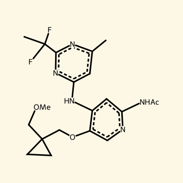 COCC1(COc2cnc(NC(C)=O)cc2Nc2cc(C)nc(C(C)(F)F)n2)CC1